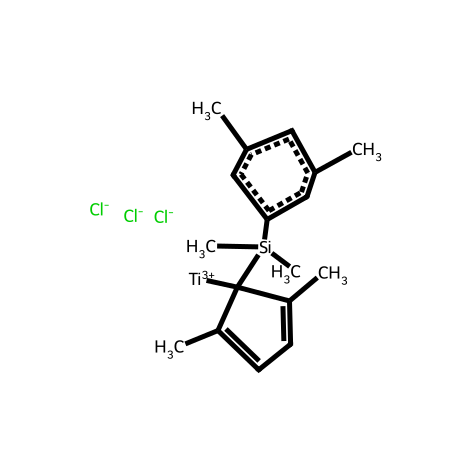 CC1=CC=C(C)[C]1([Ti+3])[Si](C)(C)c1cc(C)cc(C)c1.[Cl-].[Cl-].[Cl-]